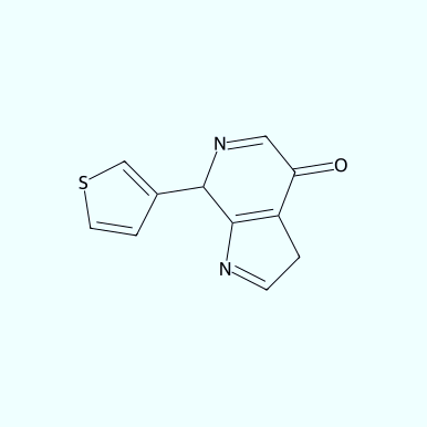 O=C1C=NC(c2ccsc2)C2=C1CC=N2